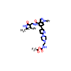 CCCc1cc(C)[nH]c(=O)c1CNC(=O)c1cc(-c2ccc(N3CCN(CCNC(=O)OC(=O)C(F)(F)F)CC3)nc2)cc2c1cnn2C(C)C